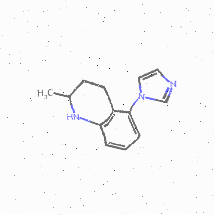 CC1CCc2c(cccc2-n2ccnc2)N1